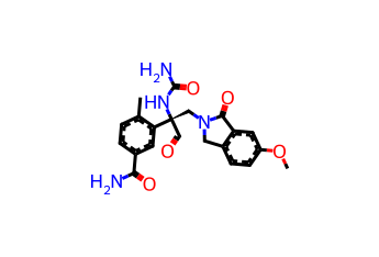 COc1ccc2c(c1)C(=O)N(C[C@](C=O)(NC(N)=O)c1cc(C(N)=O)ccc1C)C2